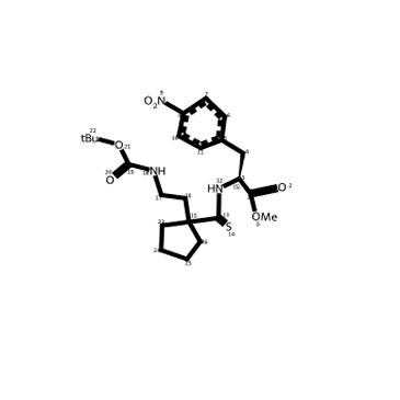 COC(=O)[C@H](Cc1ccc([N+](=O)[O-])cc1)NC(=S)C1(CCNC(=O)OC(C)(C)C)CCCC1